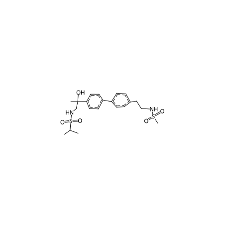 CC(C)S(=O)(=O)NCC(C)(O)c1ccc(-c2ccc(CCNS(C)(=O)=O)cc2)cc1